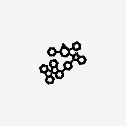 C1=C2C(c3ccccc3)=CC=C(c3nc4ccccc4n3-c3ccc(-c4cccc5c4-c4ccccc4C54c5ccccc5-c5ccccc54)cc3)C(c3ccccc3)=C12